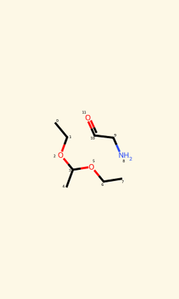 CCOC(C)OCC.NCC=O